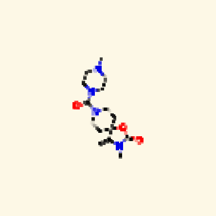 C=C1N(C)C(=O)OC12CCN(C(=O)N1CCN(C)CC1)CC2